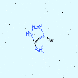 Nc1nnn[nH]1.[Na]